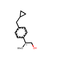 CO[C@H](CO)c1ccc(CC2CC2)cc1